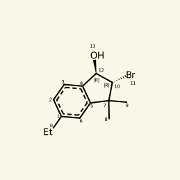 CCc1ccc2c(c1)C(C)(C)[C@@H](Br)[C@@H]2O